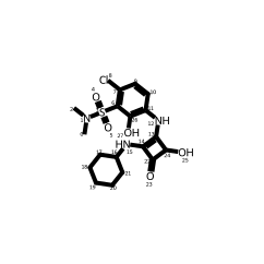 CN(C)S(=O)(=O)c1c(Cl)ccc(NC2=C(NC3CCCCC3)C(=O)C2O)c1O